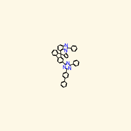 c1ccc(-c2ccc(-c3nc(-c4ccccc4)nc(-c4ccc5c(c4)C4(c6ccccc6-5)c5ccccc5-n5c(-c6ccccc6)nc6cccc4c65)n3)cc2)cc1